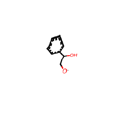 [O]CC(O)c1ccccc1